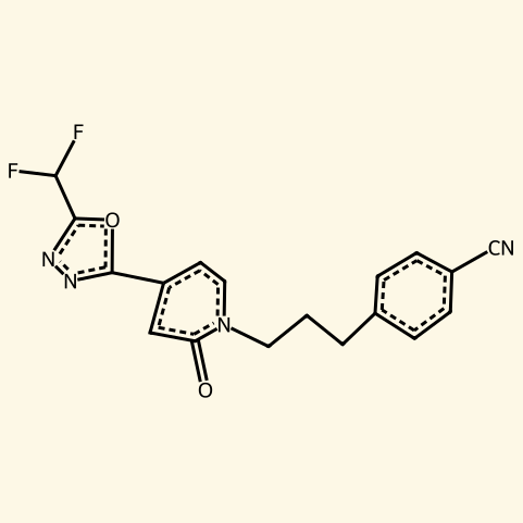 N#Cc1ccc(CCCn2ccc(-c3nnc(C(F)F)o3)cc2=O)cc1